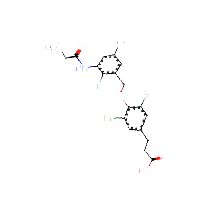 CCC(=O)Nc1cc(C)cc(COc2c(Br)cc(CCC(=O)O)cc2Br)c1F